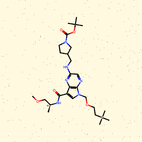 COC[C@H](C)NC(=O)c1cn(COCC[Si](C)(C)C)c2ncc(NCC3CCN(C(=O)OC(C)(C)C)C3)nc12